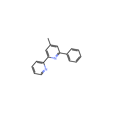 Cc1cc(-c2ccccc2)nc(-c2ccccn2)c1